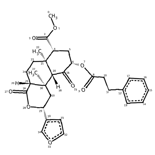 COC(=O)[C@@H]1C[C@H](OC(=O)CCc2ccccc2)C(=O)[C@H]2[C@@]1(C)CC[C@H]1C(=O)O[C@@H](c3ccoc3)C[C@]21C